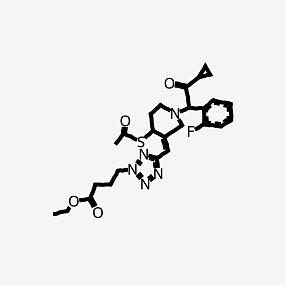 CCOC(=O)CCCn1nnc(C=C2CN(C(C(=O)C3CC3)c3ccccc3F)CCC2SC(C)=O)n1